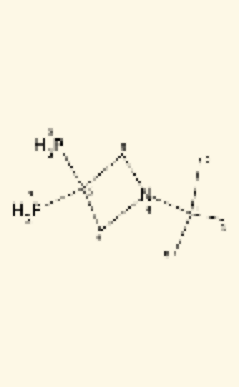 CC(C)(C)N1CC(P)(P)C1